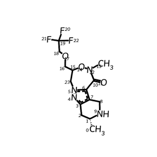 C[C@@H]1Cc2nn3c(c2CN1)C(=O)N(C)OC(COCC(F)(F)F)C3